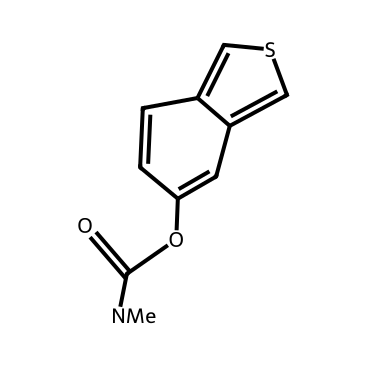 CNC(=O)Oc1ccc2cscc2c1